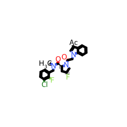 CC(=O)c1cn(CC(=O)N2C[C@H](F)C[C@H]2C(=O)N(C)Cc2cccc(Cl)c2F)c2ccccc12